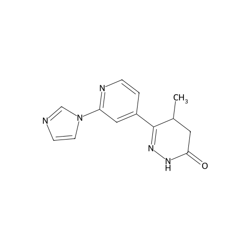 CC1CC(=O)NN=C1c1ccnc(-n2ccnc2)c1